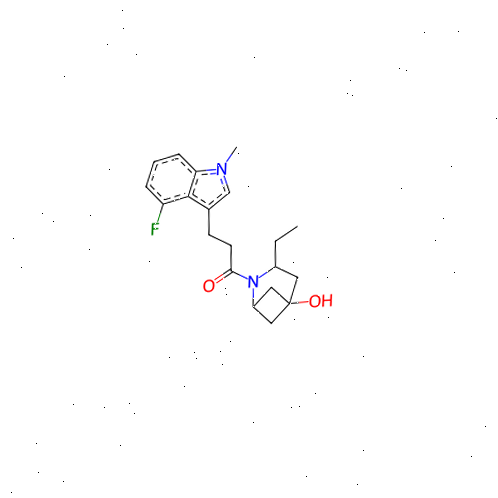 CCC1CC2(O)CC(C2)N1C(=O)CCc1cn(C)c2cccc(F)c12